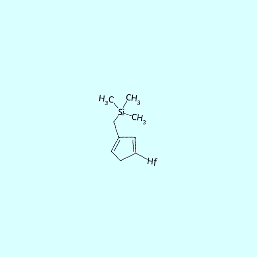 C[Si](C)(C)CC1=CC[C]([Hf])=C1